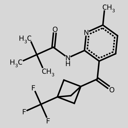 Cc1ccc(C(=O)C23CC(C(F)(F)F)(C2)C3)c(NC(=O)C(C)(C)C)n1